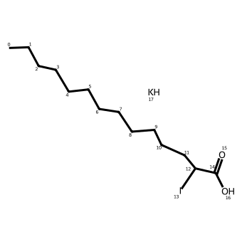 CCCCCCCCCCCCC(I)C(=O)O.[KH]